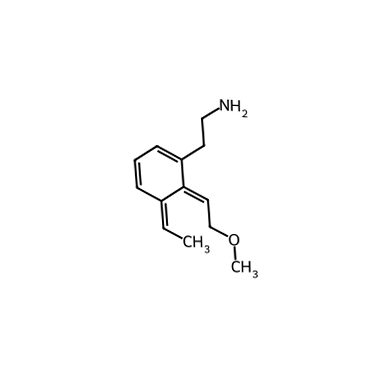 C/C=c1/cccc(CCN)/c1=C/COC